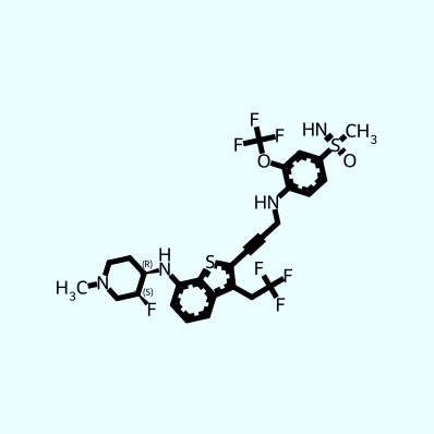 CN1CC[C@@H](Nc2cccc3c(CC(F)(F)F)c(C#CCNc4ccc(S(C)(=N)=O)cc4OC(F)(F)F)sc23)[C@@H](F)C1